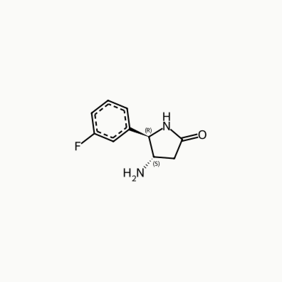 N[C@H]1CC(=O)N[C@@H]1c1cccc(F)c1